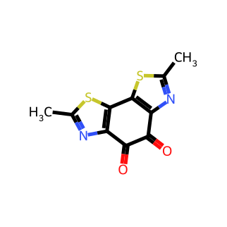 Cc1nc2c(s1)-c1sc(C)nc1C(=O)C2=O